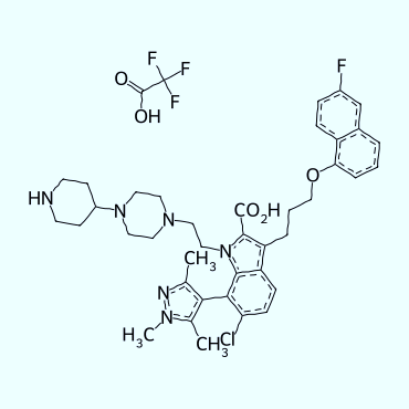 Cc1nn(C)c(C)c1-c1c(Cl)ccc2c(CCCOc3cccc4cc(F)ccc34)c(C(=O)O)n(CCN3CCN(C4CCNCC4)CC3)c12.O=C(O)C(F)(F)F